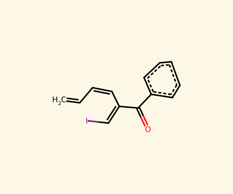 C=C/C=C\C(=C/I)C(=O)c1ccccc1